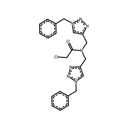 O=C(CCl)N(Cc1cn(Cc2ccccc2)nn1)Cc1cn(Cc2ccccc2)nn1